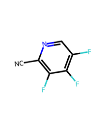 N#Cc1ncc(F)c(F)c1F